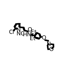 CCC(CC)(NC(=O)/C(C#N)=C/c1cccc(Cl)n1)c1ccc(OCCN2CCOCC2)cc1